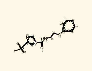 CC(C)(C)c1cn(C(=O)NCCOc2ccccc2)cn1